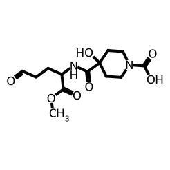 COC(=O)C(CCC=O)NC(=O)C1(O)CCN(C(=O)O)CC1